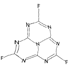 FC1=NC2=NC(F)=NC3=NC(F)=NC(=N1)N23